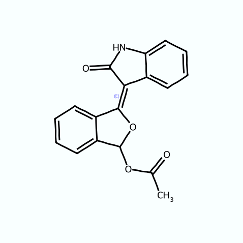 CC(=O)OC1O/C(=C2/C(=O)Nc3ccccc32)c2ccccc21